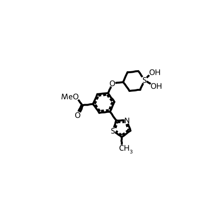 COC(=O)c1cc(OC2CCS(O)(O)CC2)cc(-c2ncc(C)s2)c1